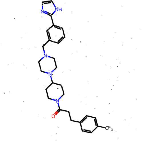 O=C(CCc1ccc(C(F)(F)F)cc1)N1CCC(N2CCN(Cc3cccc(-c4ncc[nH]4)c3)CC2)CC1